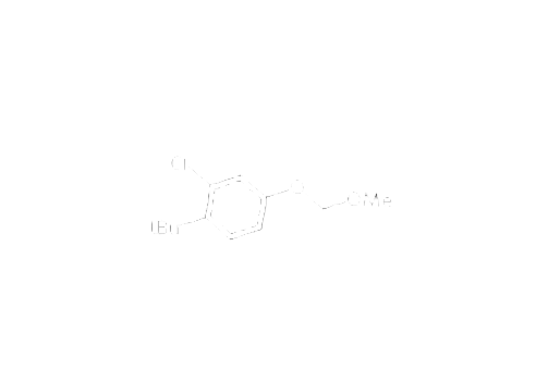 COCOc1ccc(C(C)(C)C)c(Cl)c1